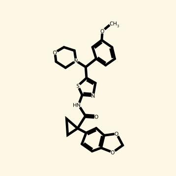 COc1cccc(C(c2cnc(NC(=O)C3(c4ccc5c(c4)OCO5)CC3)s2)N2CCOCC2)c1